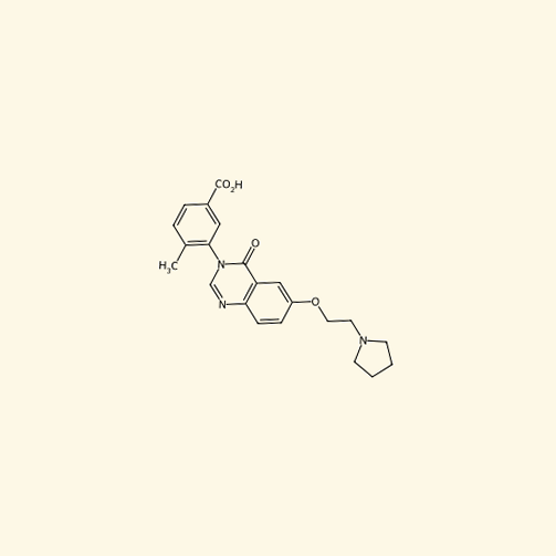 Cc1ccc(C(=O)O)cc1-n1cnc2ccc(OCCN3CCCC3)cc2c1=O